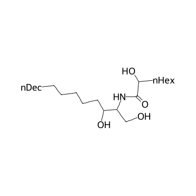 CCCCCCCCCCCCCCCC(O)C(CO)NC(=O)C(O)CCCCCC